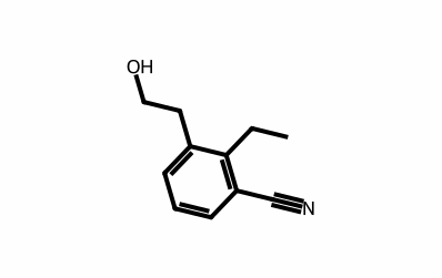 CCc1c(C#N)cccc1CCO